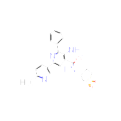 Cc1ccc(-c2cc(C(=O)N[C@@H]3CCS(=O)(=O)C3)c(N)c(-c3ccccc3)n2)cn1